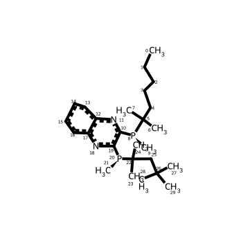 CCCCCC(C)(C)[P@@](C)c1nc2ccccc2nc1[P@](C)C(C)(C)CC(C)(C)C